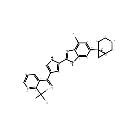 O=C(c1c[nH]c(-c2nc3c(F)cc([C@@]45CCOC[C@@H]4C5)cc3[nH]2)c1)c1cccnc1C(F)(F)F